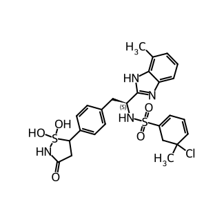 Cc1cccc2nc([C@H](Cc3ccc(C4CC(=O)NS4(O)O)cc3)NS(=O)(=O)C3=CC=CC(C)(Cl)C3)[nH]c12